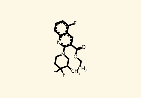 CCOC(=O)c1cc2c(F)cccc2nc1N1CCC(F)(F)C(C)C1